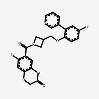 O=C1COc2cc(F)c(C(=O)N3CC(COc4ccc(Cl)cc4-c4cccnc4)C3)cc2N1